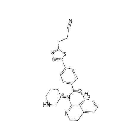 Cc1cccc2ccnc(N(C(=O)c3ccc(-c4nnc(CCC#N)s4)cc3)[C@@H]3CCCNC3)c12